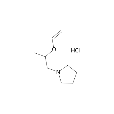 C=COC(C)CN1CCCC1.Cl